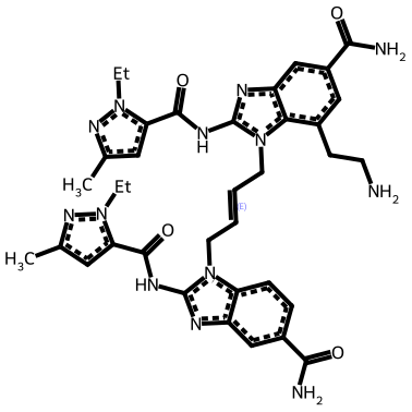 CCn1nc(C)cc1C(=O)Nc1nc2cc(C(N)=O)ccc2n1C/C=C/Cn1c(NC(=O)c2cc(C)nn2CC)nc2cc(C(N)=O)cc(CCN)c21